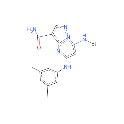 CCNc1cc(Nc2cc(C)cc(C)c2)nc2c(C(N)=O)cnn12